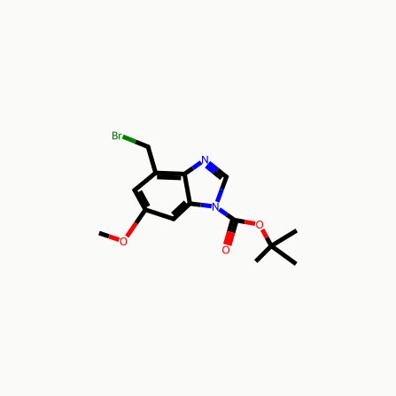 COc1cc(CBr)c2ncn(C(=O)OC(C)(C)C)c2c1